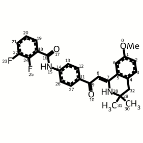 COc1ccc2c(c1)/C(=C/C(=O)c1ccc(NC(=O)c3cccc(F)c3F)cc1)NC(C)(C)C2